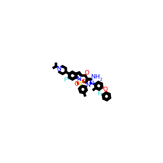 Cc1ccc(S(=O)(=O)n2c(C(=O)c3cnn(-c4ccc(Oc5ccccc5F)cc4C)c3N)cc3cc(C4CCN(C(C)C)CC4)c(F)cc32)cc1